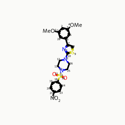 COc1cc(OC)cc(-c2csc(N3CCN(S(=O)(=O)c4ccc([N+](=O)[O-])cc4)CC3)n2)c1